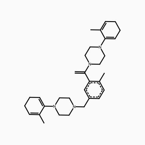 C=C(c1cc(CN2CCN(C3=CCCC=C3C)CC2)ccc1C)N1CCN(C2=CCCC=C2C)CC1